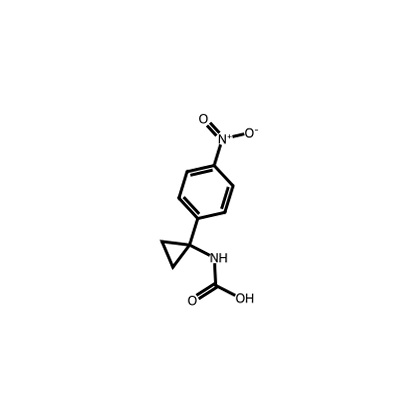 O=C(O)NC1(c2ccc([N+](=O)[O-])cc2)CC1